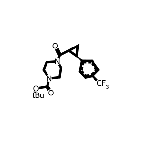 CC(C)(C)OC(=O)N1CCN(C(=O)C2C[C@H]2c2ccc(C(F)(F)F)cc2)CC1